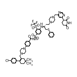 CC1(C)CCC(c2ccc(Cl)cc2)=C(CN2CCN(c3ccc(C(=O)NS(=O)(=O)c4ccc(N[C@H](CCN5CCN(Cc6cc(C7CCC(=O)NC7=O)ncn6)CC5)CSc5ccccc5)c(S(=O)(=O)C(F)(F)F)c4)cc3)CC2)C1